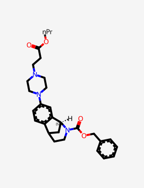 CCCOC(=O)CCN1CCN(c2ccc3c(c2)[C@@H]2CC3CCN2C(=O)OCc2ccccc2)CC1